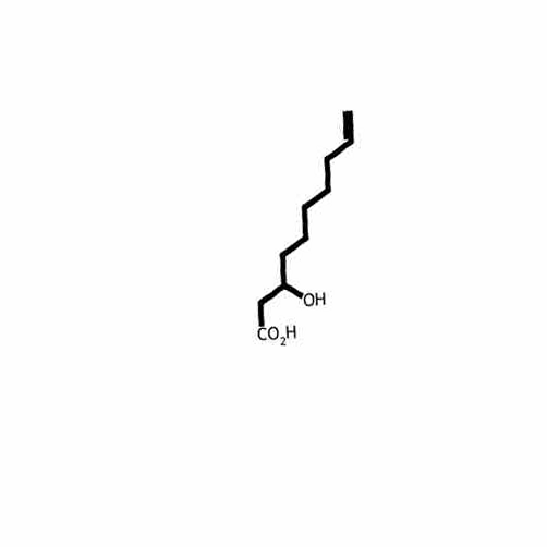 C=CCCCCCC(O)CC(=O)O